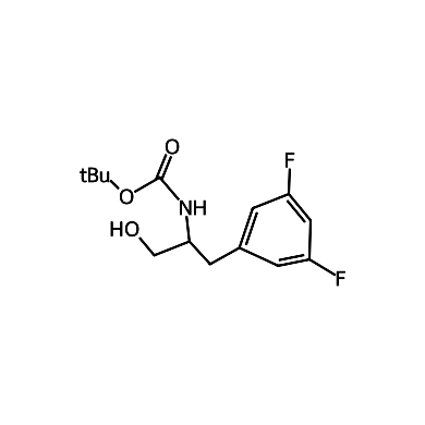 CC(C)(C)OC(=O)NC(CO)Cc1cc(F)cc(F)c1